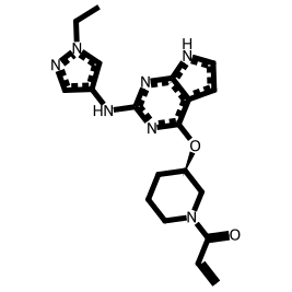 C=CC(=O)N1CCC[C@@H](Oc2nc(Nc3cnn(CC)c3)nc3[nH]ccc23)C1